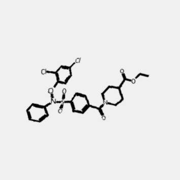 CCOC(=O)C1CCN(C(=O)c2ccc(S(=O)(=O)N(Oc3ccc(Cl)cc3Cl)c3ccccc3)cc2)CC1